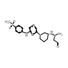 CN(CC=O)N[C@@H]1CCCN(c2cncc(Nc3ccc(S(C)(=O)=O)cc3)n2)C1